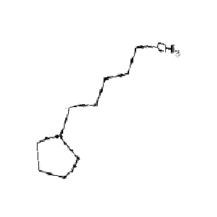 CCCCC[CH]C1CCCC1